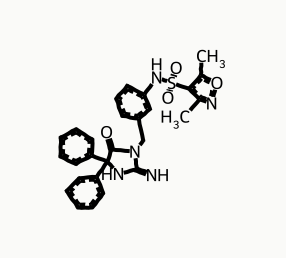 Cc1noc(C)c1S(=O)(=O)Nc1cccc(CN2C(=N)NC(c3ccccc3)(c3ccccc3)C2=O)c1